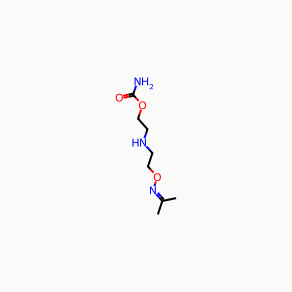 CC(C)=NOCCNCCOC(N)=O